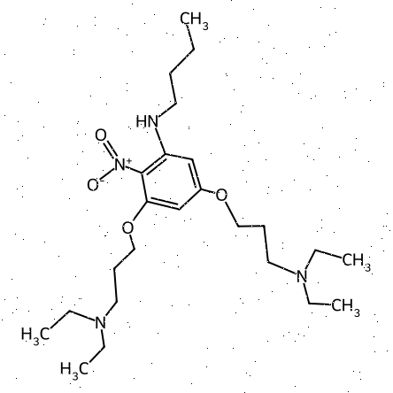 CCCCNc1cc(OCCCN(CC)CC)cc(OCCCN(CC)CC)c1[N+](=O)[O-]